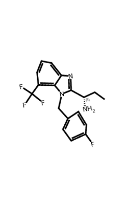 CC[C@H](N)c1nc2cccc(C(F)(F)F)c2n1Cc1ccc(F)cc1